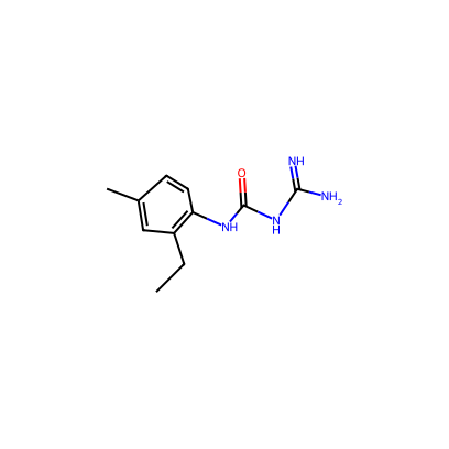 CCc1cc(C)ccc1NC(=O)NC(=N)N